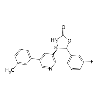 Cc1cccc(-c2cncc([C@H]3NC(=O)OC3c3cccc(F)c3)c2)c1